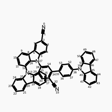 N#Cc1ccc2c(c1)c1cccc(-n3c4ccccc4c4ccccc43)c1n2-c1ccc(C#N)c(-c2ccc(-n3c4ccccc4c4ccccc43)cc2)c1